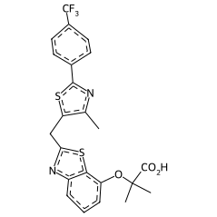 Cc1nc(-c2ccc(C(F)(F)F)cc2)sc1Cc1nc2cccc(OC(C)(C)C(=O)O)c2s1